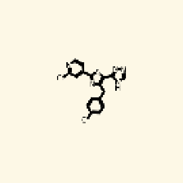 Clc1ccc(Cc2nc(-c3ccnc(Cl)c3)sc2-c2nnc[nH]2)cc1